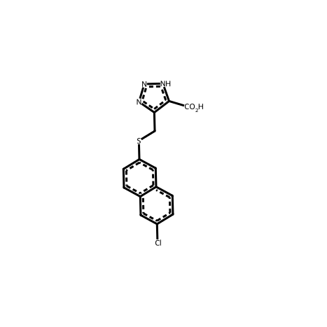 O=C(O)c1[nH]nnc1CSc1ccc2cc(Cl)ccc2c1